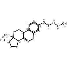 CC12CCC3C(=CCc4cc(OSOOO)ccc43)C1CC[C@@H]2O